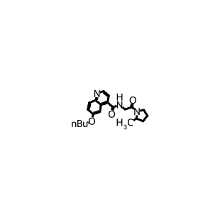 CCCCOc1ccc2nccc(C(=O)NCC(=O)N3CCCC3C)c2c1